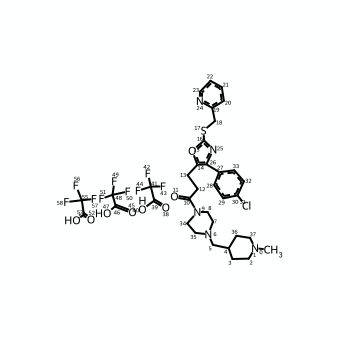 CN1CCC(CN2CCN(C(=O)CCc3oc(SCc4ccccn4)nc3-c3ccc(Cl)cc3)CC2)CC1.O=C(O)C(F)(F)F.O=C(O)C(F)(F)F.O=C(O)C(F)(F)F